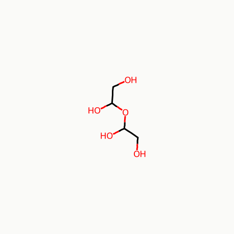 OCC(O)OC(O)CO